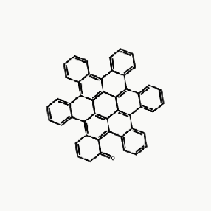 O=C1CC=Cc2c1c1c3ccccc3c3c4ccccc4c4c5ccccc5c5c6ccccc6c6c7ccccc7c2c2c1c3c4c5c62